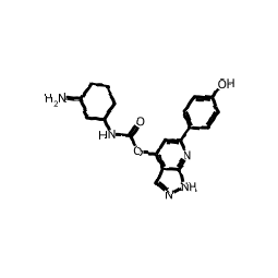 NC1CCCC(NC(=O)Oc2cc(-c3ccc(O)cc3)nc3[nH]ncc23)C1